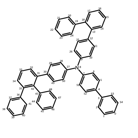 c1ccc(-c2ccc(N(c3ccc(-c4ccccc4-c4ccccc4)cc3)c3ccc(-c4cccc(-c5ccccc5)c4-c4ccccc4)cc3)cc2)cc1